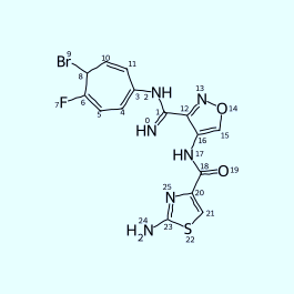 N=C(NC1=CC=C(F)C(Br)C=C1)c1nocc1NC(=O)c1csc(N)n1